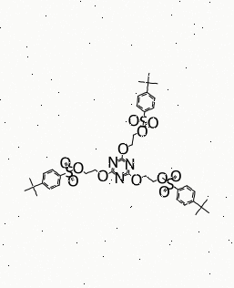 CC(C)(C)c1ccc(S(=O)(=O)OCCOc2nc(OCCOS(=O)(=O)c3ccc(C(C)(C)C)cc3)nc(OCCOS(=O)(=O)c3ccc(C(C)(C)C)cc3)n2)cc1